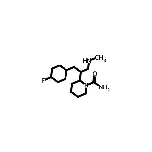 CNCC(CC1CCC(F)CC1)C1CCCCN1C(N)=O